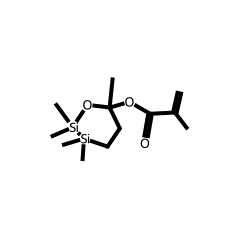 C=C(C)C(=O)OC1(C)CC[Si](C)(C)[Si](C)(C)O1